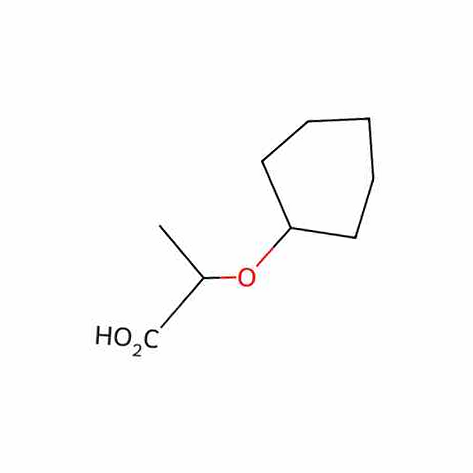 CC(OC1CCCCC1)C(=O)O